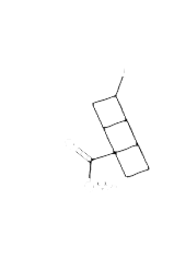 COC(=O)C12C3C4C1C1C2C3C41I